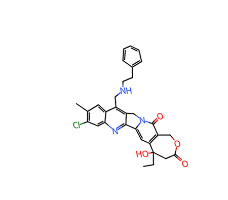 CCC1(O)CC(=O)OCc2c1cc1n(c2=O)Cc2c-1nc1cc(Cl)c(C)cc1c2CNCCc1ccccc1